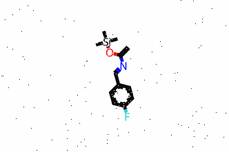 C=C(/N=C/c1ccc(F)cc1)O[Si](C)(C)C